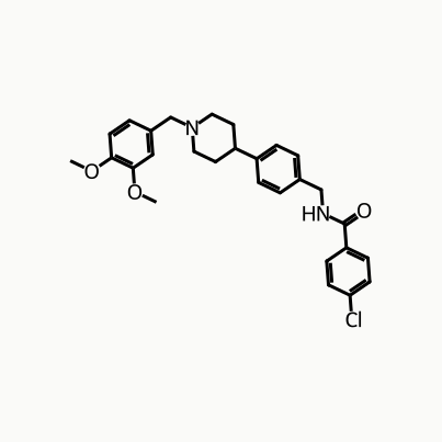 COc1ccc(CN2CCC(c3ccc(CNC(=O)c4ccc(Cl)cc4)cc3)CC2)cc1OC